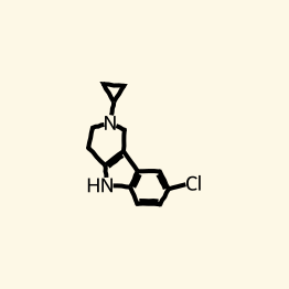 Clc1ccc2[nH]c3c(c2c1)CN(C1CC1)CC3